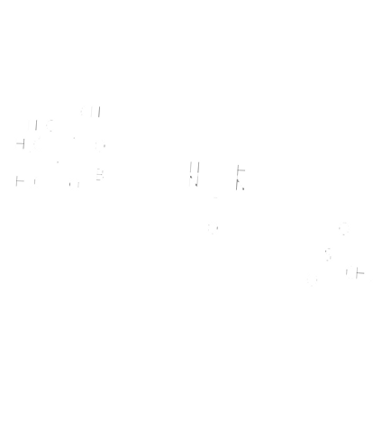 CC1(C)OB(c2cccc(NC(=O)Nc3ccc(S(C)(=O)=O)cc3)c2)OC1(C)C